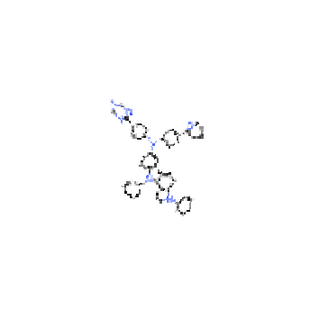 c1ccc(-n2ccc3c2ccc2c4cc(N(c5ccc(-c6ccccn6)cc5)c5ccc(-c6ncncn6)cc5)ccc4n(-c4ccccc4)c23)cc1